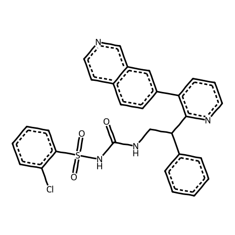 O=C(NCC(c1ccccc1)c1ncccc1-c1ccc2ccncc2c1)NS(=O)(=O)c1ccccc1Cl